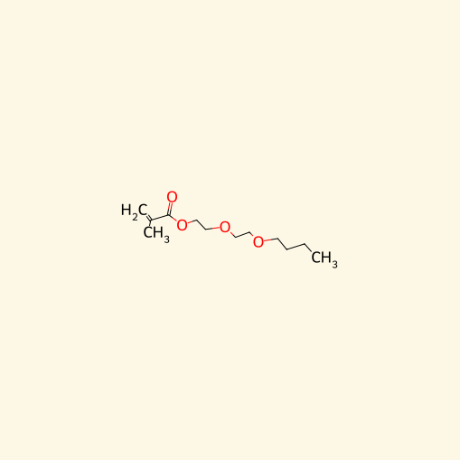 C=C(C)C(=O)OCCOCCOCCCC